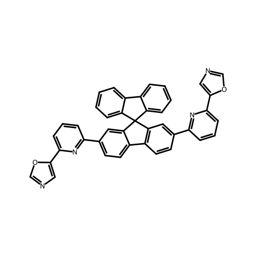 c1cc(-c2ccc3c(c2)C2(c4ccccc4-c4ccccc42)c2cc(-c4cccc(-c5cnco5)n4)ccc2-3)nc(-c2cnco2)c1